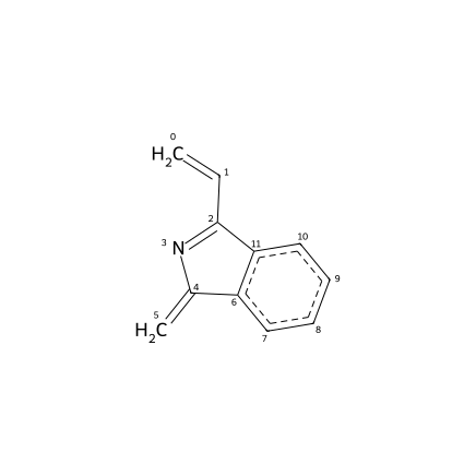 C=CC1=NC(=C)c2ccccc21